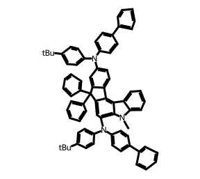 Cn1c2ccccc2c2c3c(cc(N(c4ccc(-c5ccccc5)cc4)c4ccc(C(C)(C)C)cc4)c21)C(c1ccccc1)(c1ccccc1)c1cc(N(c2ccc(-c4ccccc4)cc2)c2ccc(C(C)(C)C)cc2)ccc1-3